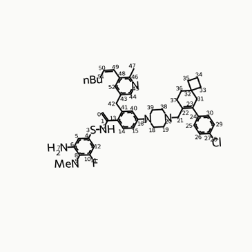 C=C(NSc1cc(N)c(NC)c(F)c1)c1ccc(N2CCN(CC3=C(c4ccc(Cl)cc4)CC4(CCC4)CC3)CC2)cc1Cc1cnc(C)c(/C=C\CCCC)c1